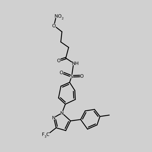 Cc1ccc(-c2cc(C(F)(F)F)nn2-c2ccc(S(=O)(=O)NC(=O)CCCO[N+](=O)[O-])cc2)cc1